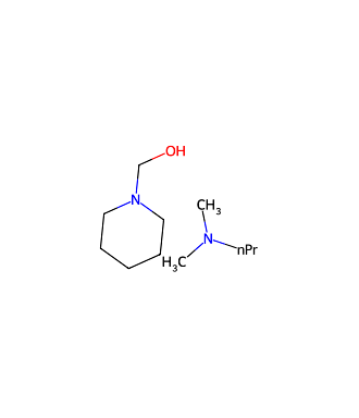 CCCN(C)C.OCN1CCCCC1